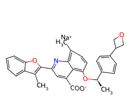 Cc1c(-c2cc(C(=O)[O-])c3c(O[C@H](C)c4ccc(C5COC5)cc4)ccc(C)c3n2)oc2ccccc12.[Na+]